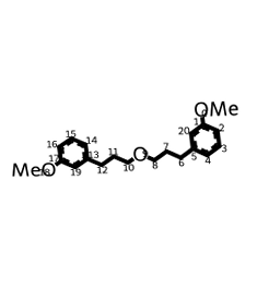 COc1cccc(CCCOCCCc2cccc(OC)c2)c1